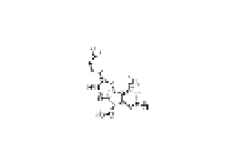 C=C/C=C\C=C(/N)CN1C(=O)/C(=N\O)c2cc(Cl)cc(C)c21